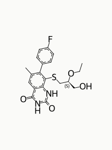 CCO[C@@H](CO)CSc1c(-c2ccc(F)cc2)c(C)cc2c(=O)[nH]c(=O)[nH]c12